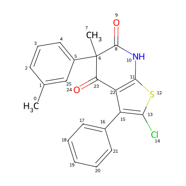 Cc1cccc(C2(C)C(=O)Nc3sc(Cl)c(-c4ccccc4)c3C2=O)c1